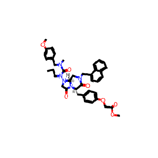 CCCN(C(=O)N(C)Cc1ccc(OC)cc1)N1CC(=O)N2[C@@H](Cc3ccc(OCC(=O)OC)cc3)C(=O)N(Cc3cccc4ccccc34)C[C@@H]21